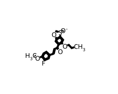 CCCOc1cc2c(cc1C(=O)C=Cc1ccc(OC)c(F)c1)OC[S+]2[O-]